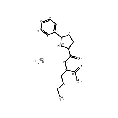 CSCCC(NC(=O)C1CSC(c2cccnc2)N1)C(N)=O.Cl.Cl